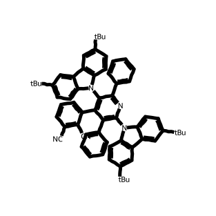 CC(C)(C)c1ccc2c(c1)c1cc(C(C)(C)C)ccc1n2-c1nc(-c2ccccc2)c(-n2c3ccc(C(C)(C)C)cc3c3cc(C(C)(C)C)ccc32)c(-c2cccc(C#N)c2C#N)c1-c1ccccc1